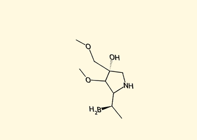 B[C@H](C)C1NC[C@](O)(COC)C1OC